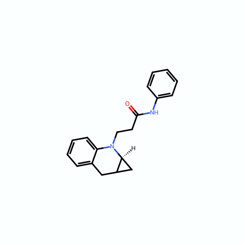 O=C(CCN1c2ccccc2CC2C[C@@H]21)Nc1ccccc1